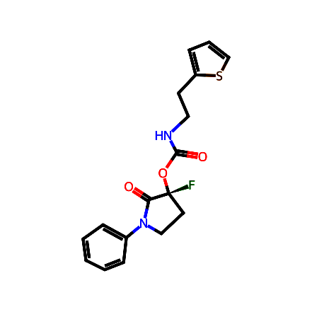 O=C(NCCc1cccs1)O[C@]1(F)CCN(c2ccccc2)C1=O